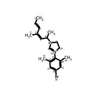 C/C=C/C(C)=C\C(C)N1C=[N+](c2c(C)cc(Br)cc2C)CC1